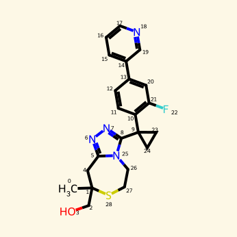 CC1(CO)Cc2nnc(C3(c4ccc(-c5cccnc5)cc4F)CC3)n2CCS1